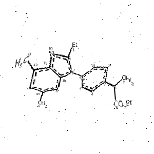 CCOC(=O)C(C)c1ccc(-n2c(CC)nc3c(C)cc(C)cc32)cc1